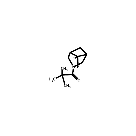 CC(C)(C)C(=O)N1CC2CC(C1)C2(F)F